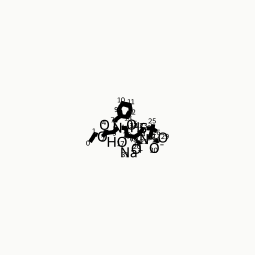 CCOC(=O)CN(Cc1ccccc1)C(=O)[C@@H](O)[C@@H]1C(=O)N2[C@@H]1SC(C)(C)[C@@H]2C(=O)[O-].[Na+]